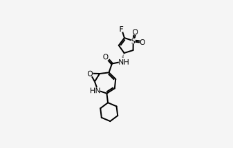 O=C(N[C@@H]1C=C(F)S(=O)(=O)C1)C1=CC=C(C2CCCCC2)NC2OC12